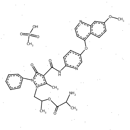 COc1ccc2c(Oc3ccc(NC(=O)c4c(C)n(CC(C)OC(=O)C(C)N)n(-c5ccccc5)c4=O)nc3)ccnc2c1.CS(=O)(=O)O